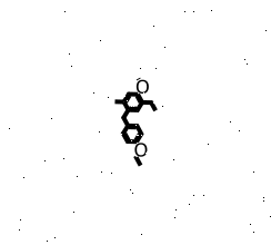 CCOc1ccc(Cc2cc(CC)c(OC)cc2C)cc1